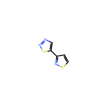 [c]1nnsc1-c1ccsn1